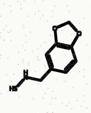 SNCc1ccc2c(c1)OCO2